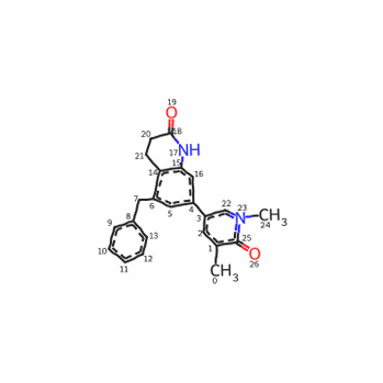 Cc1cc(-c2cc(Cc3ccccc3)c3c(c2)NC(=O)CC3)cn(C)c1=O